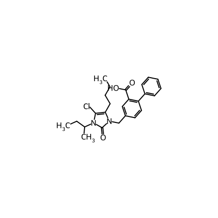 CCCCc1c(Cl)n(C(C)CC)c(=O)n1Cc1ccc(-c2ccccc2)c(C(=O)O)c1